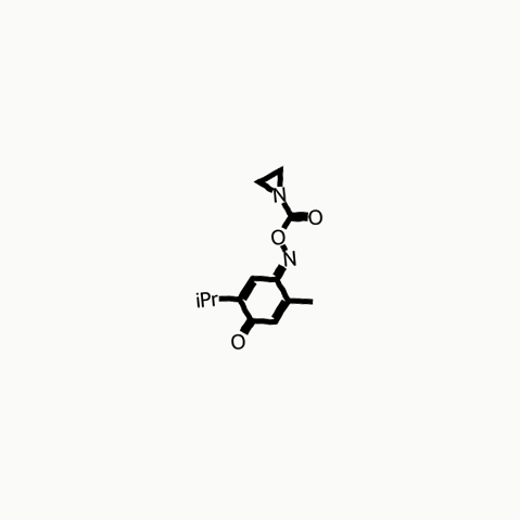 CC1=CC(=O)C(C(C)C)=C/C1=N\OC(=O)N1CC1